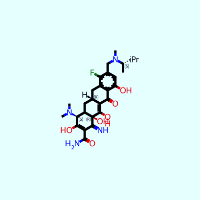 CC(C)[C@H](C)N(C)Cc1cc(O)c2c(c1F)C[C@H]1CC3[C@H](N(C)C)C(O)=C(C(N)=O)C(=N)[C@@]3(O)C(O)=C1C2=O